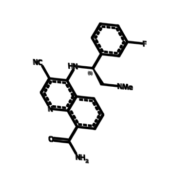 CNC[C@@H](Nc1c(C#N)cnc2c(C(N)=O)cccc12)c1cccc(F)c1